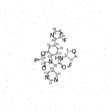 O=C(NC1COCC1F)C(c1cncnc1)N(C(=O)C(F)Cl)c1ccc(-c2ncsc2F)cc1